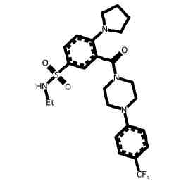 CCNS(=O)(=O)c1ccc(N2CCCC2)c(C(=O)N2CCN(c3ccc(C(F)(F)F)cc3)CC2)c1